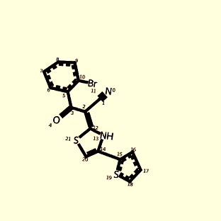 N#CC(C(=O)c1ccccc1Br)=C1NC(c2cccs2)=CS1